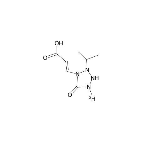 [2H]N1NN(C(C)C)N(C=CC(=O)O)C1=O